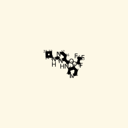 O=C(Nc1cnccc1OC(F)C(F)F)c1ccnc(NC2CCC2)n1